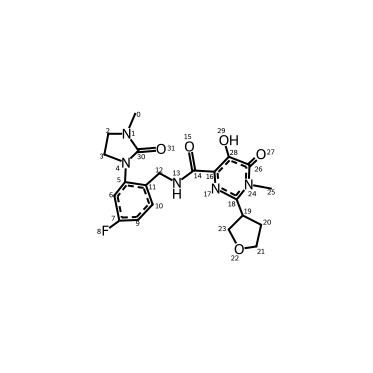 CN1CCN(c2cc(F)ccc2CNC(=O)c2nc(C3CCOC3)n(C)c(=O)c2O)C1=O